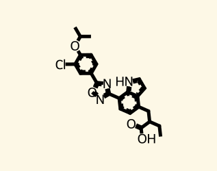 CCC(Cc1ccc(-c2noc(-c3ccc(OC(C)C)c(Cl)c3)n2)c2[nH]ccc12)C(=O)O